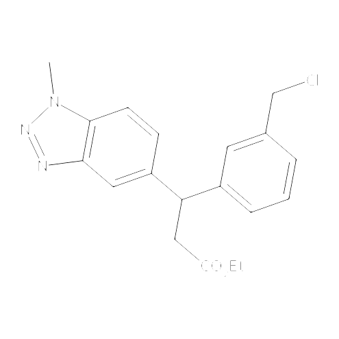 CCOC(=O)CC(c1cccc(CCl)c1)c1ccc2c(c1)nnn2C